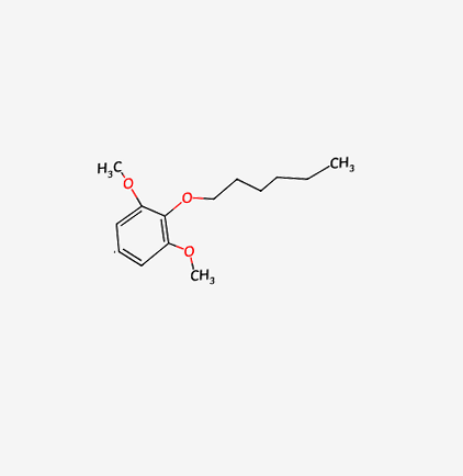 CCCCCCOc1c(OC)c[c]cc1OC